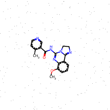 COc1cccc2c1N=C(NC(=O)c1cnccc1C)N1CCN=C21